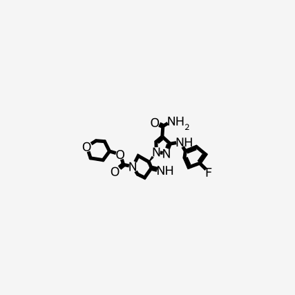 N=C1CCN(C(=O)OC2CCOCC2)C[C@H]1n1cc(C(N)=O)c(Nc2ccc(F)cc2)n1